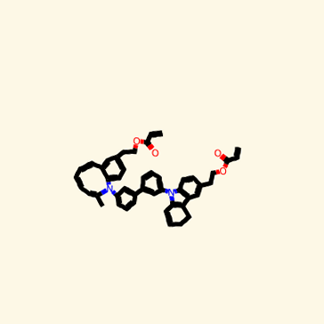 C=CC(=O)OCCc1ccc2c(cccccc(C)n2-c2cccc(-c3cccc(-n4c5c(c6cc(CCOC(=O)C=C)ccc64)CCC=C5)c3)c2)c1